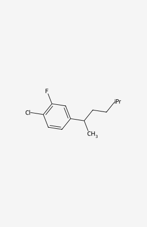 CC(C)CCC(C)c1ccc(Cl)c(F)c1